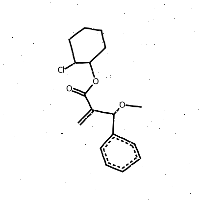 C=C(C(=O)OC1CCCCC1Cl)C(OC)c1ccccc1